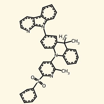 Cc1nc(S(=O)(=O)c2ccccc2)ccc1N1c2ccccc2C(C)(C)c2cc(-n3c4ccccc4c4cccnc43)ccc21